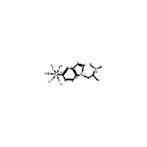 CC(Cn1ccc2cc(S(F)(F)(F)(F)F)ccc21)N(C)C